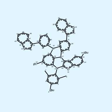 Cc1cc(C(C)(C)C)cc(C)c1N1c2cc(C(C)C)cc3c2B(c2ccc(-c4csc5ccccc45)cc2N3c2cccc(-c3csc4ccccc34)c2)c2c1oc1ccc(C(C)(C)C)cc21